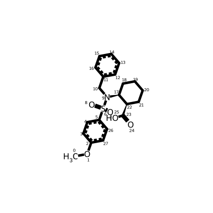 COc1ccc(S(=O)(=O)N(Cc2ccccc2)[C@H]2CCCC[C@H]2C(=O)O)cc1